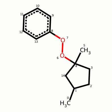 CC1CCC(C)(OOc2ccccc2)C1